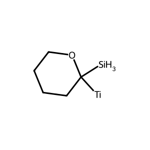 [SiH3][C]1([Ti])CCCCO1